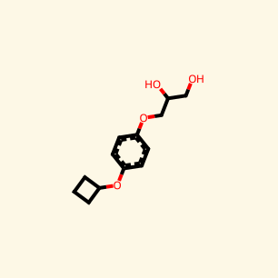 OCC(O)COc1ccc(OC2CCC2)cc1